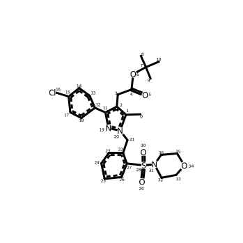 Cc1c(CC(=O)OC(C)(C)C)c(-c2ccc(Cl)cc2)nn1Cc1ccccc1S(=O)(=O)N1CCOCC1